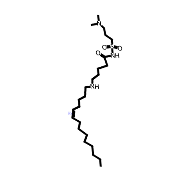 CCCCCCCC/C=C\CCCCNCCCCC(=O)NS(=O)(=O)CCCN(C)C